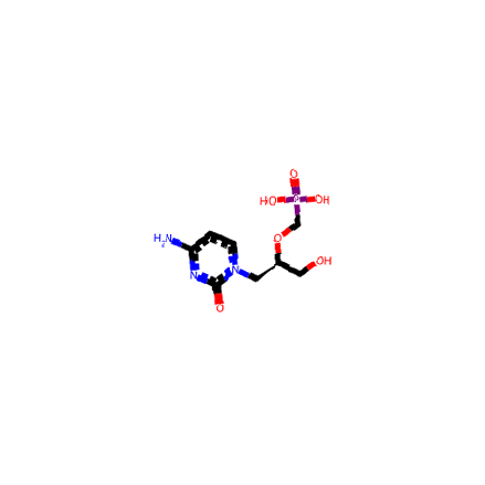 Nc1ccn(C[C@H](CO)OCP(=O)(O)O)c(=O)n1